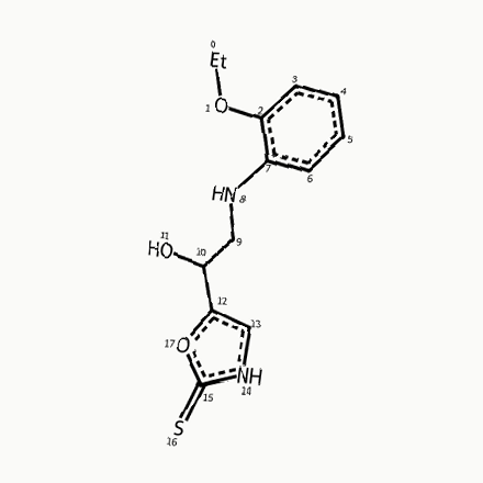 CCOc1ccccc1NCC(O)c1c[nH]c(=S)o1